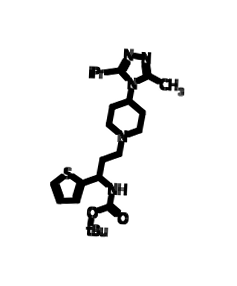 Cc1nnc(C(C)C)n1C1CCN(CCC(NC(=O)OC(C)(C)C)c2cccs2)CC1